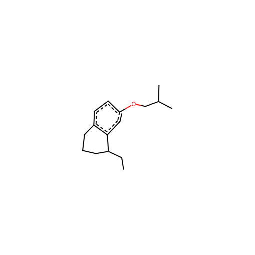 CCC1CCCc2ccc(OCC(C)C)cc21